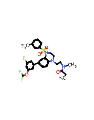 CN(CCN1CCN(S(=O)(=O)c2cccc(C(F)(F)F)c2)c2cc(-c3cc(F)cc(OC(F)F)c3)ccc21)C(=O)CC#N